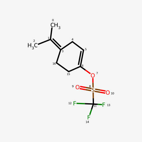 CC(C)=C1CC=C(OS(=O)(=O)C(F)(F)F)CC1